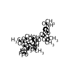 CC(=O)Nc1ccn([C@@H]2O[C@H](CO[PH](=O)O[C@@]3(C(=O)O)CC(OC(C)=O)[C@@H](NC(=O)CNC(=O)C(F)(F)F)C([C@H](OC(C)=O)[C@@H](COC(C)=O)OC(C)=O)O3)C(OC(C)=O)C2OC(C)=O)c(=O)n1